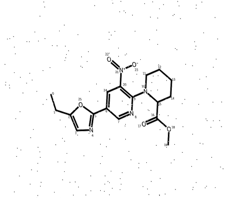 CCc1cnc(-c2cnc(N3CCCCC3C(=O)OC)c([N+](=O)[O-])c2)o1